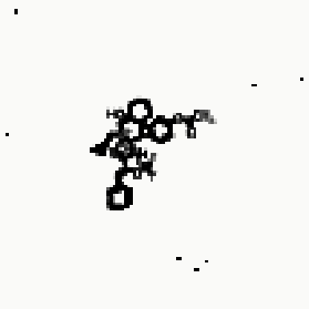 CC(=O)Oc1cccc(C23CCCCC2(O)C[N@@+](C)(CC2CC2)[C@H](NC(=O)C(=Cc2ccccc2)OC(F)(F)F)C3)c1